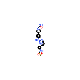 CS(=O)(=O)CNc1cccc(-c2ccc3cnc(Nc4ccc(C5CCN(CC(N)=O)CC5)cc4)nn23)c1